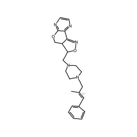 C/C(=C\c1ccccc1)CN1CCN(CC2ON=C3c4nccnc4OCC32)CC1